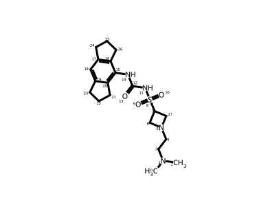 CN(C)CCN1CC(S(=O)(=O)NC(=O)Nc2c3c(cc4c2CCC4)CCC3)C1